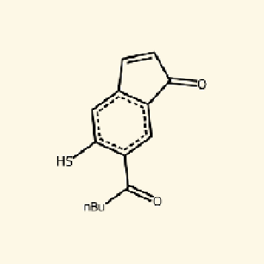 CCCCC(=O)c1cc2c(cc1S)C=CC2=O